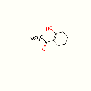 CCOC(=O)C(=O)C1=C(O)CCCC1